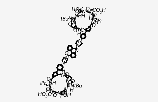 CC(C)C[C@@H]1NC(=O)c2ccc(-c3ccc(N4CCN(C(=O)c5ccccc5-c5ccccc5C(=O)N5CCN(c6ccc(-c7ccc8cc7CNC(=O)[C@@H]7CCCN7[C@H](C(=O)NC(C)(C)C)[C@H](C)NC(=O)[C@H]([C@@H](C)O)NC(=O)[C@H](CC(=O)O)NC(=O)[C@H](CC(C)C)NC8=O)cc6)CC5)CC4)cc3)c(c2)CNC(=O)[C@@H]2CCCN2[C@H](C(=O)NC(C)(C)C)[C@H](C)NC(=O)[C@H]([C@@H](C)O)NC(=O)[C@H](CC(=O)O)NC1=O